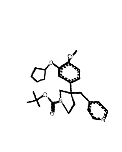 COc1ccc(C2(Cc3ccncc3)CCN(C(=O)OC(C)(C)C)C2)cc1OC1CCCC1